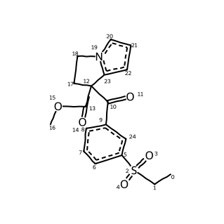 CCS(=O)(=O)c1cccc(C(=O)C2(C(=O)OC)CCn3cccc32)c1